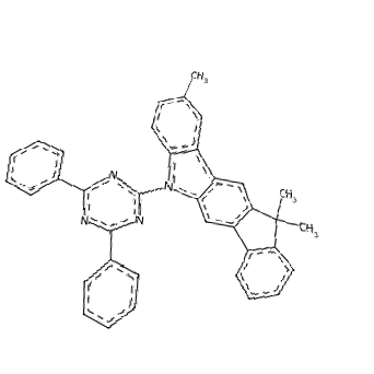 Cc1ccc2c(c1)c1cc3c(cc1n2-c1nc(-c2ccccc2)nc(-c2ccccc2)n1)-c1ccccc1C3(C)C